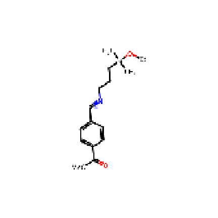 CCO[Si](C)(C)CCC/N=C/c1ccc(C(=O)OC)cc1